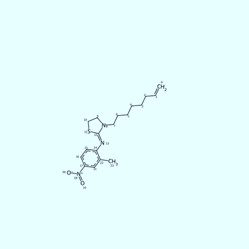 C=CCCCCCCN1CCSC1=Nc1ccc([N+](=O)[O-])cc1C